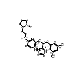 CN1CCCC1CCNc1cccc(OC(Cc2cc(Cl)cc(Cl)c2)c2ncc[nH]2)n1